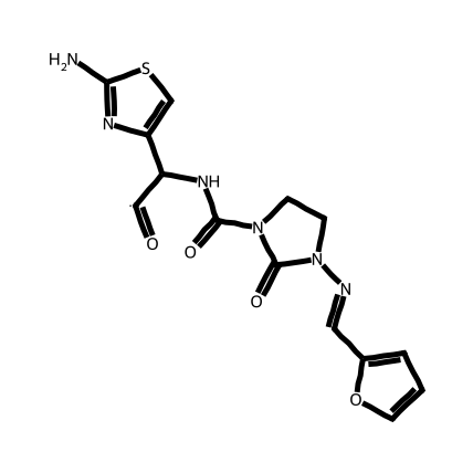 Nc1nc(C([C]=O)NC(=O)N2CCN(N=Cc3ccco3)C2=O)cs1